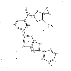 CC1CN(C(=O)c2cccc(-c3cnc4[nH]c(-c5ccccc5)cc4c3)n2)CC12CC2